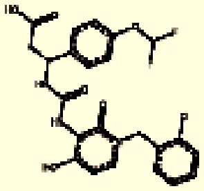 O=C(O)C[C@H](NC(=O)Nc1c(O)ccn(Cc2ccccc2Cl)c1=O)c1ccc(OC(F)F)cc1